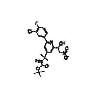 CC(C)(C)OC(=O)NC(C)(C)c1cc(-c2ccc(F)c(Cl)c2)nc(C(O)C[N+](=O)[O-])c1